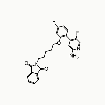 Nc1cc(-c2ccc(F)cc2OCCCCCN2C(=O)c3ccccc3C2=O)c(F)cn1